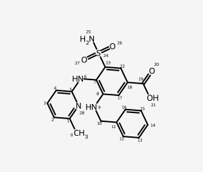 Cc1cccc(Nc2c(NCc3ccccc3)cc(C(=O)O)cc2S(N)(=O)=O)n1